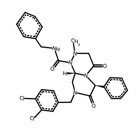 CN1CC(=O)N2[C@@H](c3ccccc3)C(=O)N(Cc3ccc(Cl)c(Cl)c3)C[C@@H]2N1C(=O)NCc1ccccc1